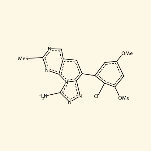 COc1cc(OC)c(Cl)c(-c2cc3cnc(SC)nc3n3c(N)nnc23)c1